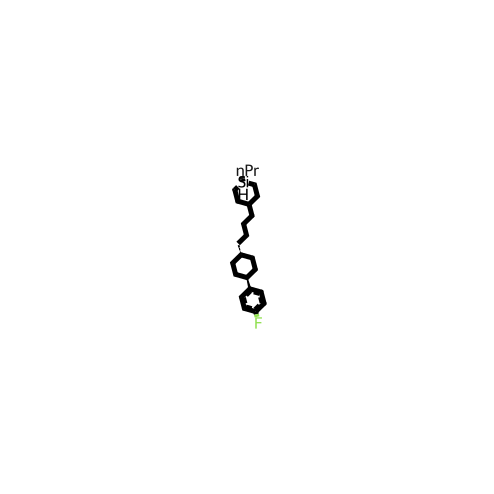 CCC[SiH]1CCC(CCCC[C@H]2CC[C@H](c3ccc(F)cc3)CC2)CC1